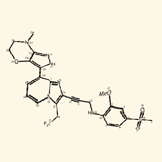 COc1cc(S(C)(=O)=O)ccc1NCC#Cc1nc2c(-c3[nH]nc4c3OCCN4C)cccn2c1CC(F)(F)F